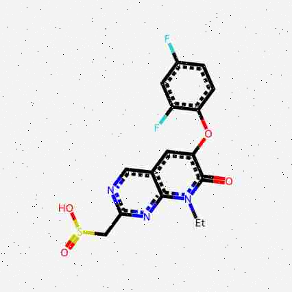 CCn1c(=O)c(Oc2ccc(F)cc2F)cc2cnc(CS(=O)O)nc21